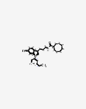 C=C/C(=C\C=C/C)n1cc(CCCNC(=O)C2CCCCCCC2)c2ccc(CC)cc21